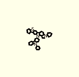 c1ccc(-n2ccc3c2ccc2c4cc5sc6ccccc6c5cc4n(-c4ccc5c(c4)c4ccccc4n5-c4ccccc4)c23)cc1